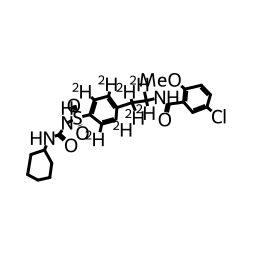 [2H]c1c([2H])c(S(=O)(=O)NC(=O)NC2CCCCC2)c([2H])c([2H])c1C([2H])([2H])C([2H])([2H])NC(=O)c1cc(Cl)ccc1OC